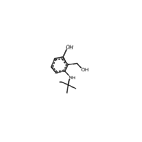 CC(C)(C)Nc1[c]ccc(O)c1CO